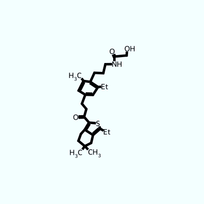 CCc1cc(CCC(=O)c2sc(CC)c3c2CCC(C)(C)C3)cc(C)c1CCCNC(=O)CO